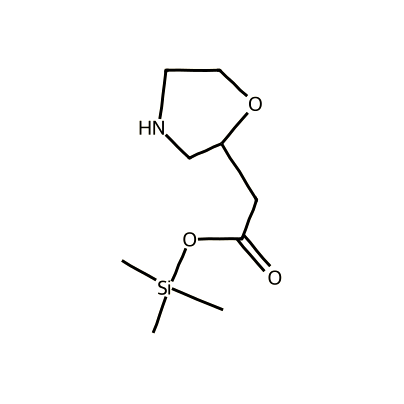 C[Si](C)(C)OC(=O)CC1CNCCO1